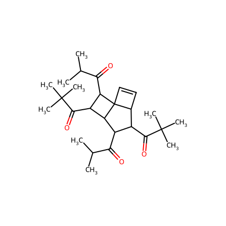 CC(C)C(=O)C1C(C(=O)C(C)(C)C)C2C=CC23C(C(=O)C(C)C)C(C(=O)C(C)(C)C)C13